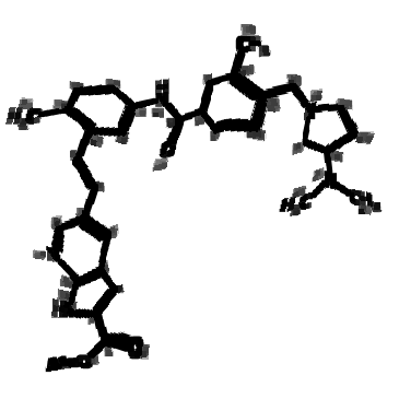 COC(=O)c1cc2cc(/C=C/c3cc(NC(=O)c4ccc(CN5CCC(N(C)C)C5)c(C(F)(F)F)c4)ccc3C)cnc2[nH]1